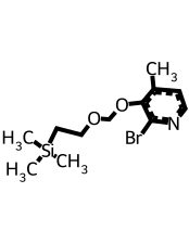 Cc1ccnc(Br)c1OCOCC[Si](C)(C)C